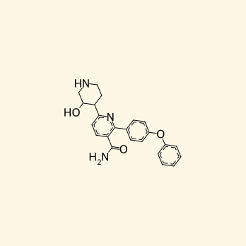 NC(=O)c1ccc(C2CCNCC2O)nc1-c1ccc(Oc2ccccc2)cc1